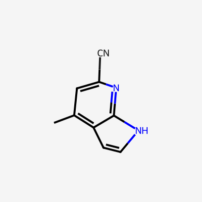 Cc1cc(C#N)nc2[nH]ccc12